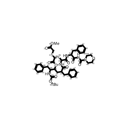 COC(=O)CSCC(=O)OC(CC(Cc1ccccc1)C(=O)NC(C(=O)NC(Cc1ccccc1)C(=O)NC(=O)N1CCOCC1)C(C)C)C(Cc1ccccc1)NC(=O)OC(C)(C)C